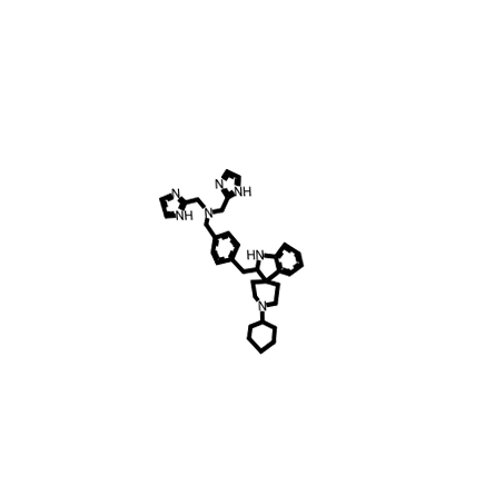 c1ccc2c(c1)NC(Cc1ccc(CN(Cc3ncc[nH]3)Cc3ncc[nH]3)cc1)C21CCN(C2CCCCC2)CC1